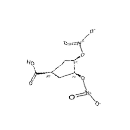 O=C(O)[C@@H]1C[C@H](O[N+](=O)[O-])[C@H](O[N+](=O)[O-])C1